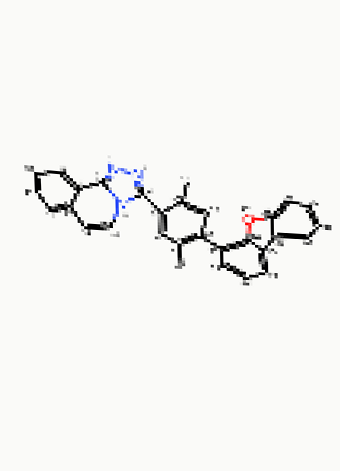 Cc1cc(-c2nnc3c4ccccc4ccn23)c(C)cc1-c1cccc2c1oc1ccccc12